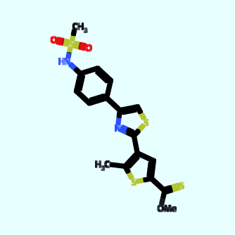 COC(=S)c1cc(-c2nc(-c3ccc(NS(C)(=O)=O)cc3)cs2)c(C)s1